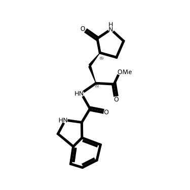 COC(=O)[C@H](C[C@@H]1CCNC1=O)NC(=O)C1NCc2ccccc21